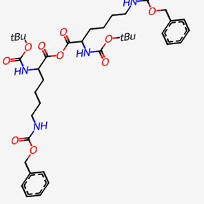 CC(C)(C)OC(=O)NC(CCCCNC(=O)OCc1ccccc1)C(=O)OC(=O)C(CCCCNC(=O)OCc1ccccc1)NC(=O)OC(C)(C)C